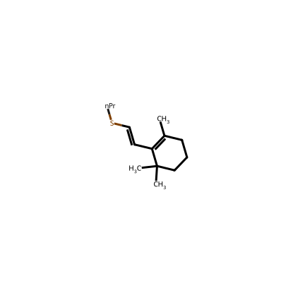 CCCS/C=C/C1=C(C)CCCC1(C)C